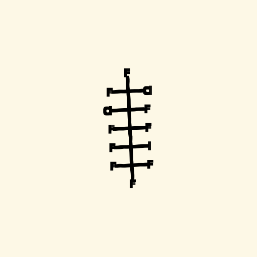 FC(F)(F)C(F)(I)C(F)(F)C(F)(Cl)C(F)(F)Cl